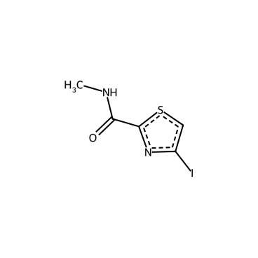 CNC(=O)c1nc(I)cs1